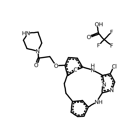 O=C(COc1ccc2cc1CCc1cccc(c1)Nc1ncc(Cl)c(n1)N2)N1CCNCC1.O=C(O)C(F)(F)F